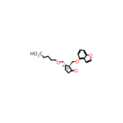 O=C(O)CCCCOC[C@H]1CCC(=O)[C@@H]1COc1cccc2occc12